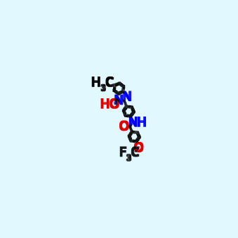 Cc1ccc2nc(-c3ccc(NC(=O)c4ccc(OC(F)(F)F)cc4)cc3)n(O)c2c1